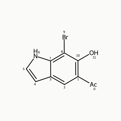 CC(=O)c1cc2cc[nH]c2c(Br)c1O